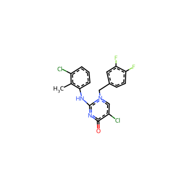 Cc1c(Cl)cccc1Nc1nc(=O)c(Cl)cn1Cc1ccc(F)c(F)c1